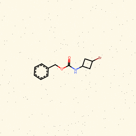 O=C(NC1CC(Br)C1)OCc1ccccc1